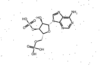 Nc1ncnc2c1ncn2[C@@H]1O[C@H](COP(=O)(O)O)[C@@H](OS(=O)(=O)O)[C@H]1O